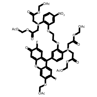 CC(=O)OCOC(=O)CN(CC(=O)OCOC(C)=O)c1ccc(-c2c3cc(F)c(=O)cc-3oc3cc(OCOC(C)=O)c(F)cc23)cc1OCCOc1cc([N+](=O)[O-])ccc1N(CC(=O)OCOC(C)=O)CC(=O)OCOC(C)=O